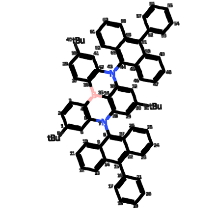 CC(C)(C)c1ccc2c(c1)N(c1c3ccccc3c(-c3ccccc3)c3ccccc13)c1cc(C(C)(C)C)cc3c1B2c1ccc(C(C)(C)C)cc1N3c1c2ccccc2c(-c2ccccc2)c2ccccc12